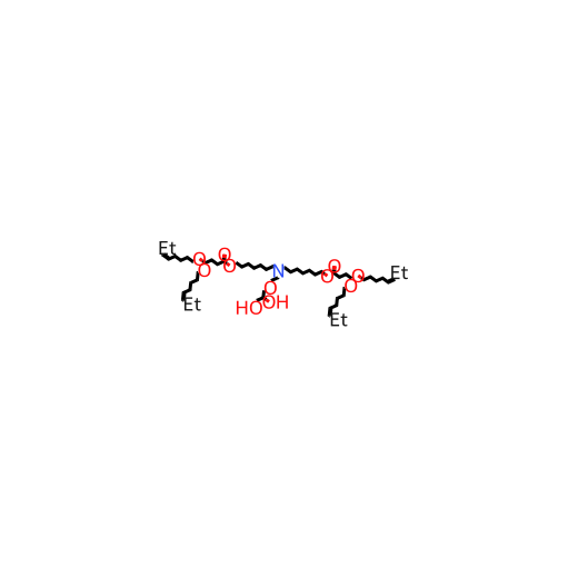 CC/C=C\CCCCOC(CCC(=O)OCCCCCCCN(CCCCCCCOC(=O)CCC(OCCCC/C=C\CC)OCCCC/C=C\CC)CCOCC(O)CO)OCCCC/C=C\CC